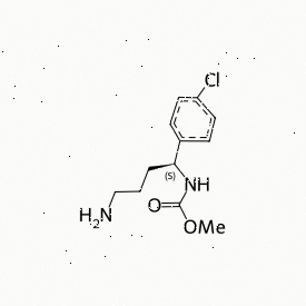 COC(=O)N[C@@H](CCCN)c1ccc(Cl)cc1